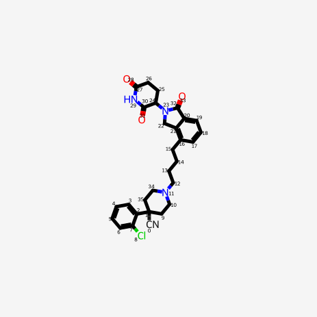 N#CC1(c2ccccc2Cl)CCN(CCCCc2cccc3c2CN(C2CCC(=O)NC2=O)C3=O)CC1